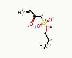 C=CC(=O)CS(=O)(=O)OCCC